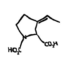 CC=C1CCN(C(=O)O)C1C(=O)O